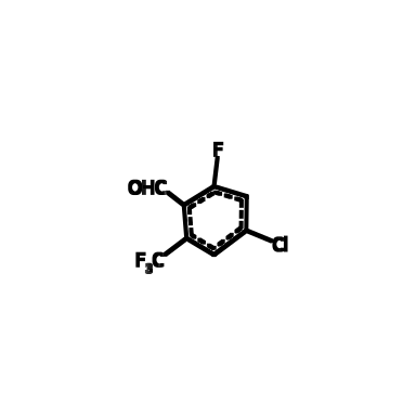 O=Cc1c(F)cc(Cl)cc1C(F)(F)F